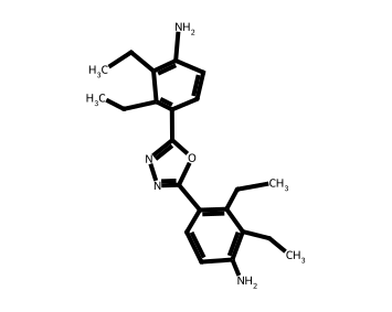 CCc1c(N)ccc(-c2nnc(-c3ccc(N)c(CC)c3CC)o2)c1CC